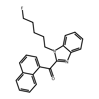 O=C(c1cccc2ccccc12)c1nc2ccccc2n1CCCCCF